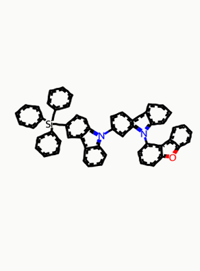 c1ccc([Si](c2ccccc2)(c2ccccc2)c2ccc3c(c2)c2ccccc2n3-c2ccc3c4ccccc4n(-c4cccc5oc6ccccc6c45)c3c2)cc1